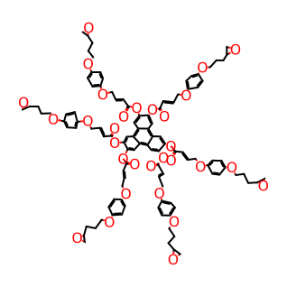 O=C(/C=C/COc1ccc(OCCCC2CO2)cc1)Oc1cc2c3cc(OC(=O)/C=C/COc4ccc(OCCCC5CO5)cc4)c(OC(=O)/C=C/COc4ccc(OCCCC5CO5)cc4)cc3c3cc(OC(=O)/C=C/COc4ccc(OCCCC5CO5)cc4)c(OC(=O)/C=C/COc4ccc(OCCCC5CO5)cc4)cc3c2cc1OC(=O)/C=C/COc1ccc(OCCCC2CO2)cc1